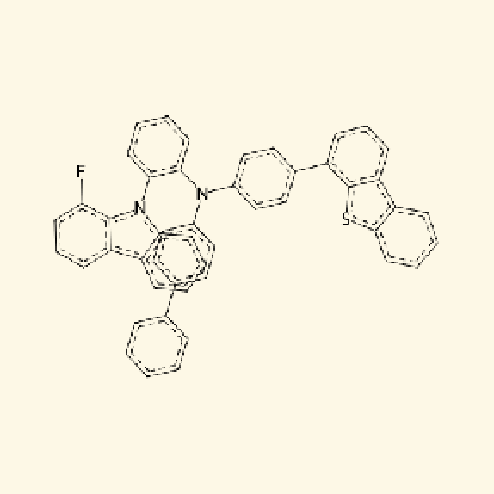 Fc1cccc2c3ccccc3n(-c3ccccc3N(c3ccc(-c4ccccc4)cc3)c3ccc(-c4cccc5c4sc4ccccc45)cc3)c12